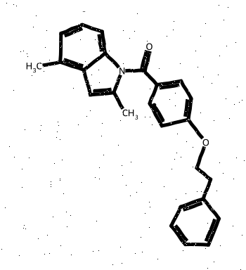 Cc1cccc2c1cc(C)n2C(=O)c1ccc(OCCc2ccccc2)cc1